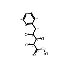 O=C(OCl)C(Cl)C(Cl)C(Cl)Cc1ccccc1